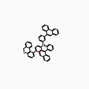 c1cc(-c2cc3ccccc3c3ccccc23)cc(N(c2ccc(-c3cccc4c3-c3ccccc3CS4)cc2)c2ccccc2-c2cccc3ccccc23)c1